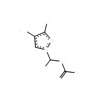 Cc1cn(C(NC(N)=O)C(=O)O)nc1C